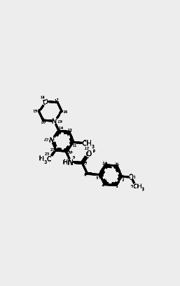 COc1ccc(CC(=O)Nc2c(C)cc(N3CCOCC3)nc2C)cc1